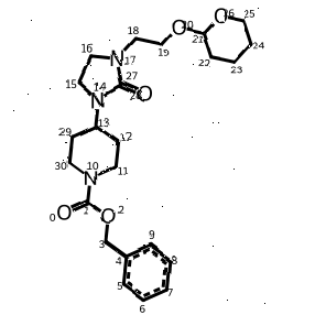 O=C(OCc1ccccc1)N1CCC(N2CCN(CCOC3CCCCO3)C2=O)CC1